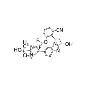 CC(C)(O)c1ncc(-c2ccc3nc4n(c3c2)[C@@H](c2c(C#N)cccc2OC(F)F)C[C@@H]4O)cn1